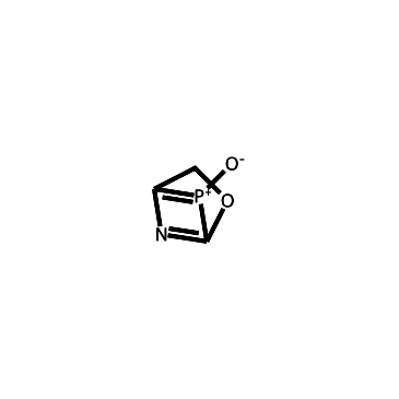 [O-][P+]1=C2COC1=N2